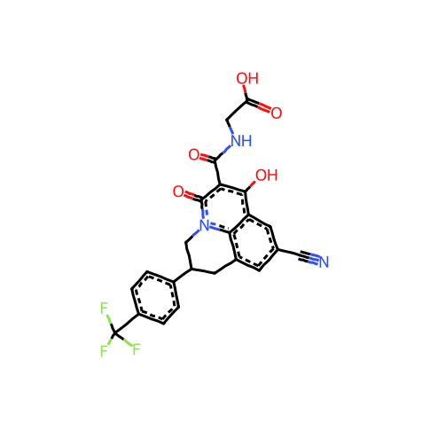 N#Cc1cc2c3c(c1)c(O)c(C(=O)NCC(=O)O)c(=O)n3CC(c1ccc(C(F)(F)F)cc1)C2